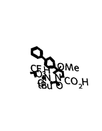 CO[C@@]1(c2ccc(-c3ccccc3)cc2)C[C@@H](C(=O)O)N(C(=O)C(NC(=O)OC(C)(C)C(F)(F)F)C(C)(C)C)C1